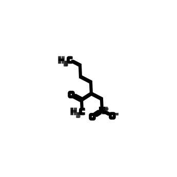 CCCCC(C[N+](=O)[O-])C(C)=O